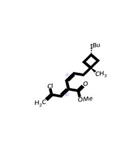 C=C(Cl)/C=C(\C=C/C[C@]1(C)C[C@H](C(C)(C)C)C1)C(=O)OC